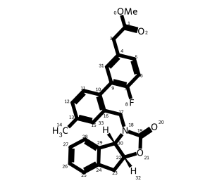 COC(=O)Cc1ccc(F)c(-c2ccc(C)cc2CN2C(=O)O[C@@H]3Cc4ccccc4[C@@H]32)c1